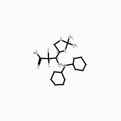 C1CCC(NC2CCCCC2)CC1.CC1(C)OCC(C(O)C(F)(F)C(=O)O)O1